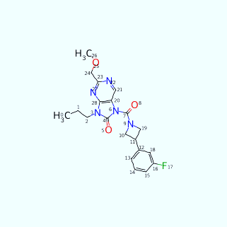 CCCn1c(=O)n(C(=O)N2CC(c3cccc(F)c3)C2)c2cnc(COC)nc21